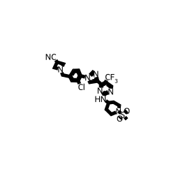 CS(=O)(=O)N1CCC(Nc2ncc(C(F)(F)F)c(-c3cn(-c4ccc(CN5CC(C#N)C5)cc4Cl)cn3)n2)CC1